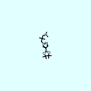 CN(C)CC(C)(C)Cn1cc(B2OC(C)(C)C(C)(C)O2)cn1